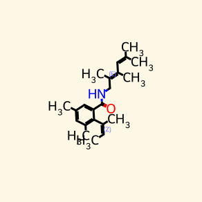 C/C=C(/C)c1c(C)cc(C)cc1C(=O)NC/C(C)=C(\C)C=C(C)C